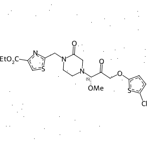 CCOC(=O)c1csc(CN2CCN([C@@H](OC)C(=O)COc3ccc(Cl)s3)CC2=O)n1